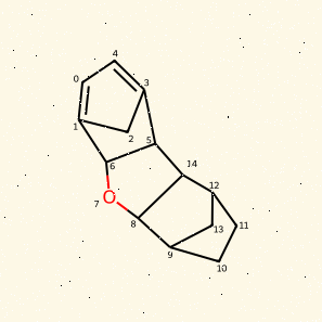 C1=C2CC(=C1)C1C2OC2C3CCC(C3)C21